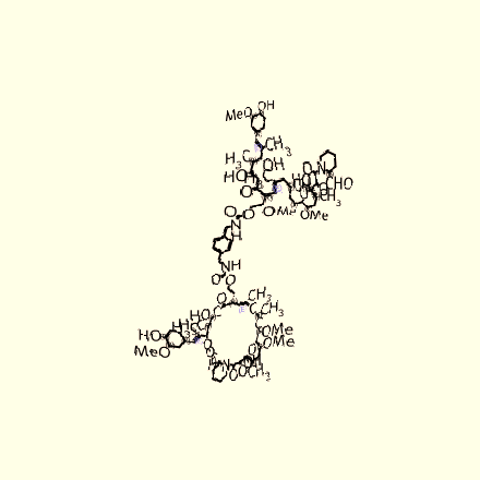 CO[C@H]1C[C@@H](C)C/C(C)=C/[C@@H](CCOC(=O)NCc2ccc(CNC(=O)OCC[C@H](/C=C(\C)C[C@H](C)C[C@H](OC)C3O[C@@](O)(C(=O)C(=O)N4CCCC[C@H]4C=O)[C@H](C)C[C@H]3OC)C(=O)C[C@H](O)[C@@H](C)C(O)/C(C)=C/[C@@H]3CC[C@@H](O)[C@H](OC)C3)cc2)C(=O)C[C@H](O)[C@@H](C)C(/C(C)=C/[C@@H]2CC[C@@H](O)[C@H](OC)C2)OOC[C@@H]2CCCCN2C(=O)C(=O)[C@]2(O)OC1[C@H](OC)C[C@H]2C